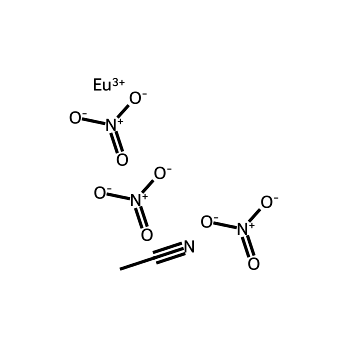 CC#N.O=[N+]([O-])[O-].O=[N+]([O-])[O-].O=[N+]([O-])[O-].[Eu+3]